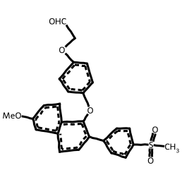 COc1ccc2c(Oc3ccc(OCC=O)cc3)c(-c3ccc(S(C)(=O)=O)cc3)ccc2c1